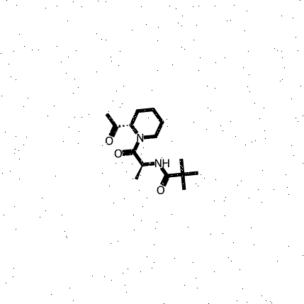 CC(=O)[C@@H]1CCCCN1C(=O)[C@H](C)NC(=O)C(C)(C)C